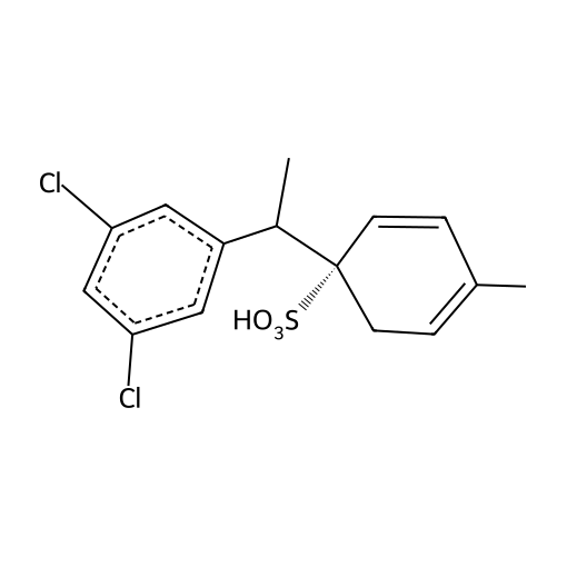 CC1=CC[C@](C(C)c2cc(Cl)cc(Cl)c2)(S(=O)(=O)O)C=C1